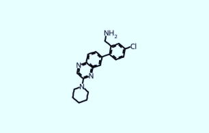 NCc1cc(Cl)ccc1-c1ccc2ncc(N3CCCCC3)nc2c1